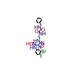 O=C(NCCNc1nonc1/C(=N/O)Nc1ccc(F)c(Br)c1)C(=O)NCc1ccccc1